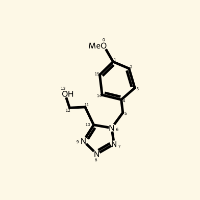 COc1ccc(Cn2nnnc2CCO)cc1